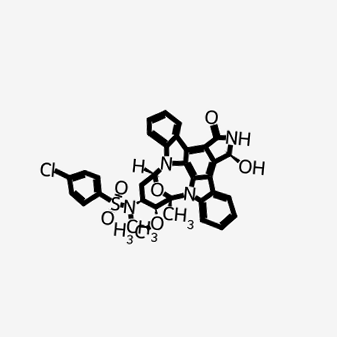 CO[C@@H]1[C@H](N(C)S(=O)(=O)c2ccc(Cl)cc2)C[C@H]2O[C@]1(C)n1c3ccccc3c3c4c(c5c6ccccc6n2c5c31)C(=O)N[C@H]4O